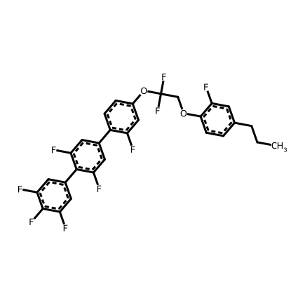 CCCc1ccc(OCC(F)(F)Oc2ccc(-c3cc(F)c(-c4cc(F)c(F)c(F)c4)c(F)c3)c(F)c2)c(F)c1